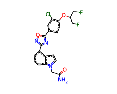 NC(=O)Cn1ccc2c(-c3noc(-c4ccc(OC(CF)CF)c(Cl)c4)n3)cccc21